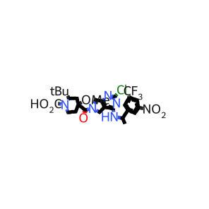 COC1(C(=O)N2Cc3nc(Cl)nc(NC(C)c4cc([N+](=O)[O-])cc(C(F)(F)F)c4)c3C2)CCN(C(=O)O)C(C(C)(C)C)C1